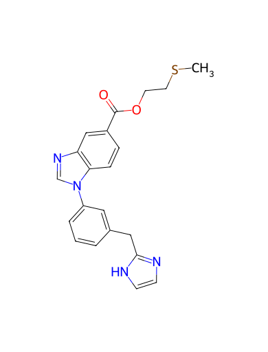 CSCCOC(=O)c1ccc2c(c1)ncn2-c1cccc(Cc2ncc[nH]2)c1